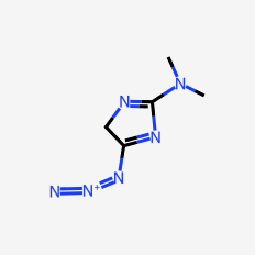 CN(C)C1=NCC(N=[N+]=[N-])=N1